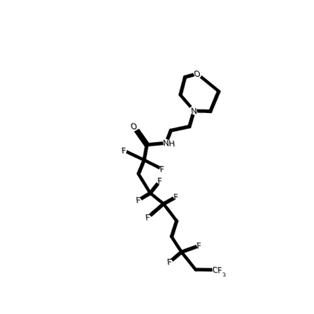 O=C(NCCN1CCOCC1)C(F)(F)CC(F)(F)C(F)(F)CCC(F)(F)CC(F)(F)F